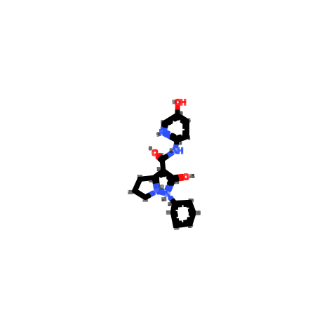 O=C(Nc1ccc(O)cn1)c1c2n(n(-c3ccccc3)c1=O)CCC2